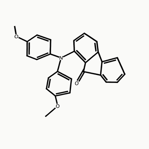 COc1ccc(N(c2ccc(OC)cc2)c2cccc3c2C(=O)c2ccccc2-3)cc1